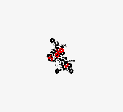 COC(OC/C(O)=C(\OC(O)C(OC(C)=O)C(OCc1ccccc1)C(OCc1ccccc1)C(C)COCc1ccccc1)[C@@H](OC)OC(C1OC(c2ccccc2)OCC1C)C(OCc1ccccc1)C(OC)OC1C(OCc2ccccc2)C(C)OC(OC2C3OC(c4ccccc4)OCC3OC(OC(C)C(C)(C)N)C2OC(=O)c2ccccc2)C1OC(=O)c1ccccc1)c1ccccc1